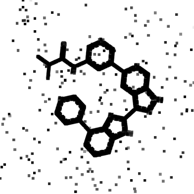 CC(C)C(=O)Nc1cncc(-c2cc3c(-c4nc5c(-c6ccncc6)cccc5[nH]4)n[nH]c3cn2)c1